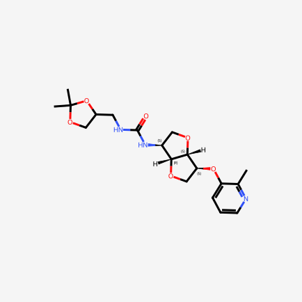 Cc1ncccc1O[C@H]1CO[C@H]2[C@@H]1OC[C@@H]2NC(=O)NCC1COC(C)(C)O1